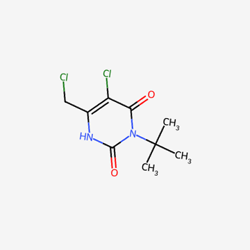 CC(C)(C)n1c(=O)[nH]c(CCl)c(Cl)c1=O